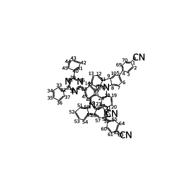 N#Cc1ccc(-c2ccc3c(c2)c2ccccc2n3-c2ccc(C#N)cc2-c2ccc(-c3nc(-c4ccccc4)nc(-c4ccccc4)n3)cc2-n2c3ccccc3c3cc(-c4ccc(C#N)cc4)ccc32)cc1